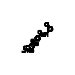 C=CC(=O)NC1C(C)CN(S(=O)(=O)c2ccc(C(=O)NCCc3cccc(Cl)c3)cc2)CC1C